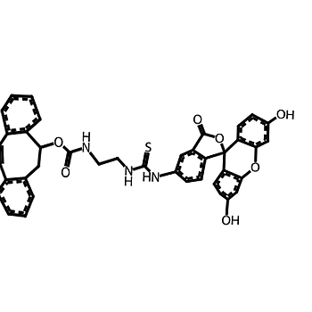 O=C(NCCNC(=S)Nc1ccc2c(c1)C(=O)OC21c2ccc(O)cc2Oc2cc(O)ccc21)OC1Cc2ccccc2C#Cc2ccccc21